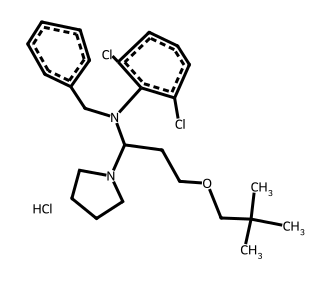 CC(C)(C)COCCC(N1CCCC1)N(Cc1ccccc1)c1c(Cl)cccc1Cl.Cl